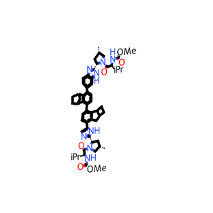 COC(=O)N[C@H](C(=O)N1C[C@@H](C)C[C@H]1c1ncc(-c2ccc(-c3ccc(-c4ccc5nc([C@@H]6C[C@H](C)CN6C(=O)[C@@H](NC(=O)OC)C(C)C)[nH]c5c4)c4c3C3CCC4C3)c3c2CC2CCC32)[nH]1)C(C)C